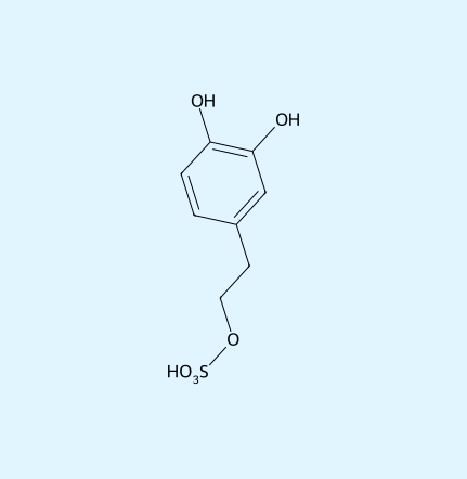 O=S(=O)(O)OCCc1ccc(O)c(O)c1